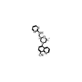 C[C@@H]1CN(c2ccc(C#N)c3ncccc23)C[C@@H](CNc2ncccn2)O1